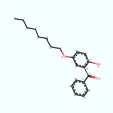 CCCCCCCCOc1ccc(O)c(C(=O)c2ccccc2)c1